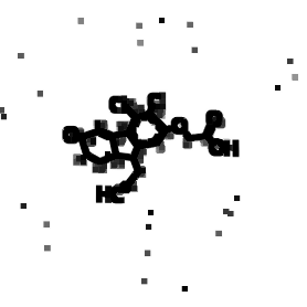 C#CCC1c2cc(OCC(=O)O)c(Cl)c(Cl)c2C2=CC(=O)CCC21